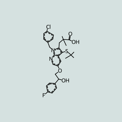 CC(C)(C)Sc1c(CC(C)(C)C(=O)O)n(Cc2ccc(Cl)cc2)c2ncc(OCC(O)c3ccc(F)cc3)cc12